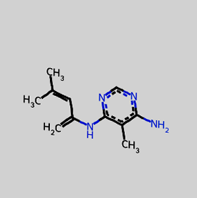 C=C(C=C(C)C)Nc1ncnc(N)c1C